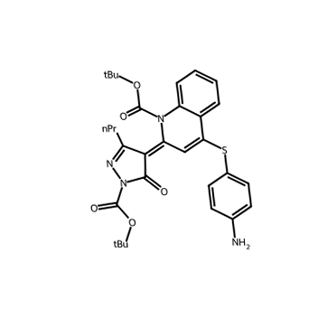 CCCC1=NN(C(=O)OC(C)(C)C)C(=O)C1=C1C=C(Sc2ccc(N)cc2)c2ccccc2N1C(=O)OC(C)(C)C